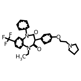 CCN1C(=O)C(c2ccc(OCCN3CCCC3)cc2)C(=O)N(c2ccccc2)c2cc(C(F)(F)F)ccc21